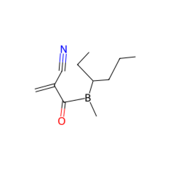 C=C(C#N)C(=O)B(C)C(CC)CCC